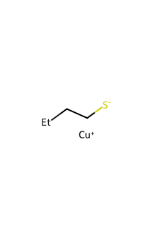 CCCC[S-].[Cu+]